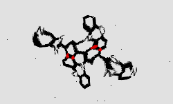 c1ccc2c(c1)Oc1ccccc1N2c1cc(-c2nc3ccncc3s2)ccc1-c1ccc(-c2nc3ccncc3s2)cc1N1c2ccccc2Oc2ccccc21